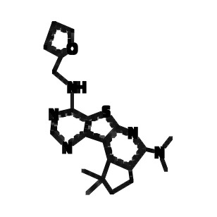 CN(C)c1nc2sc3c(NCc4ccco4)ncnc3c2c2c1CCC2(C)C